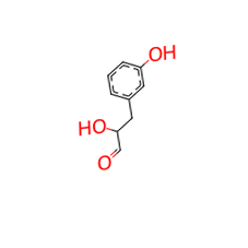 O=CC(O)Cc1cccc(O)c1